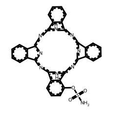 NS(=O)(=O)Oc1cccc2c3nc4nc(nc5[nH]c(nc6nc(nc([nH]3)c12)-c1ccccc1-6)c1ccccc51)-c1ccccc1-4